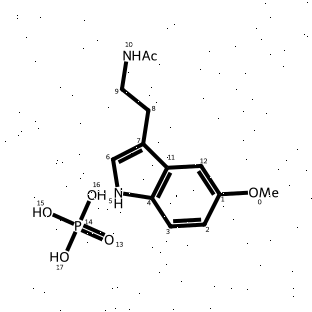 COc1ccc2[nH]cc(CCNC(C)=O)c2c1.O=P(O)(O)O